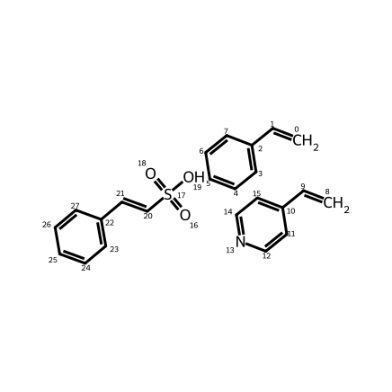 C=Cc1ccccc1.C=Cc1ccncc1.O=S(=O)(O)C=Cc1ccccc1